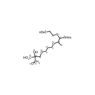 CCCCCCCCCCCCSC(CCCCCC)C(C)OCCCOCC(O)([PH2]=O)C(=O)O